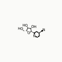 N#Cc1ccnc([C@H]2O[C@H](CO)[C@@H](O)[C@H]2O)c1